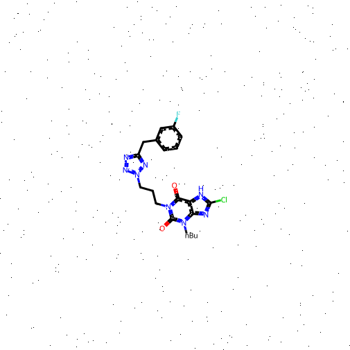 CCCCn1c(=O)n(CCCn2nnc(Cc3cccc(F)c3)n2)c(=O)c2[nH]c(Cl)nc21